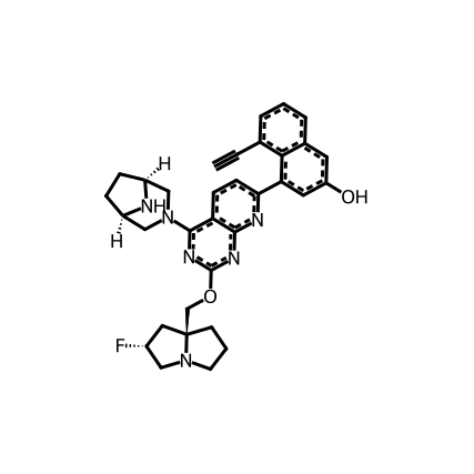 C#Cc1cccc2cc(O)cc(-c3ccc4c(N5C[C@H]6CC[C@@H](C5)N6)nc(OC[C@@]56CCCN5C[C@H](F)C6)nc4n3)c12